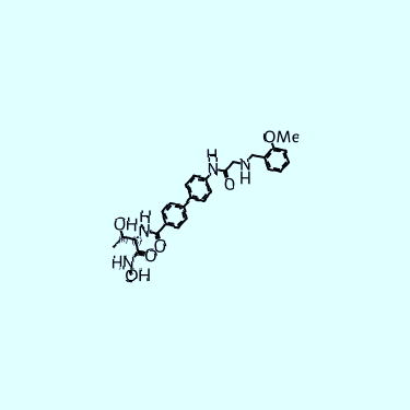 COc1ccccc1CNCC(=O)Nc1ccc(-c2ccc(C(=O)N[C@H](C(=O)NO)[C@@H](C)O)cc2)cc1